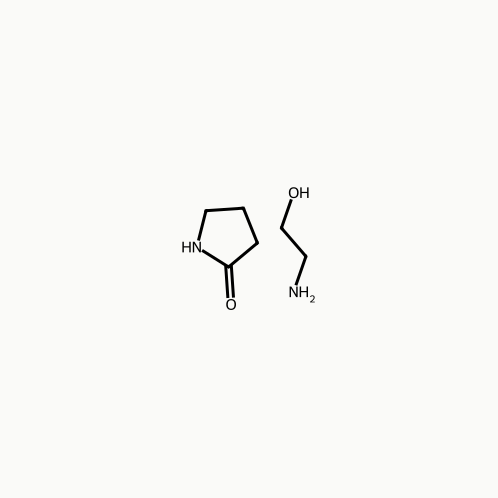 NCCO.O=C1CCCN1